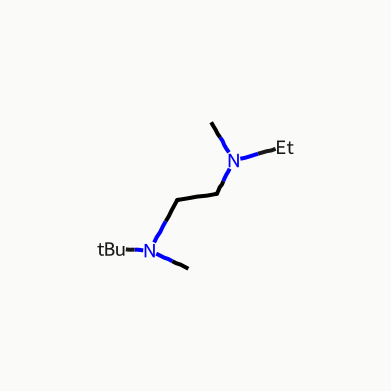 CCN(C)CCN(C)C(C)(C)C